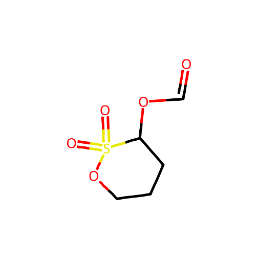 O=COC1CCCOS1(=O)=O